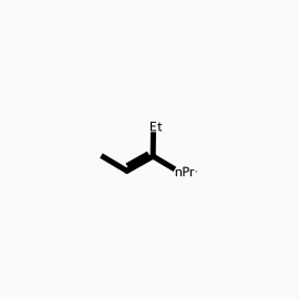 CC=C([CH]CC)CC